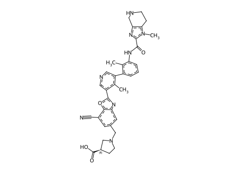 Cc1c(NC(=O)c2nc3c(n2C)CCNC3)cccc1-c1cncc(-c2nc3cc(CN4CC[C@@H](C(=O)O)C4)cc(C#N)c3o2)c1C